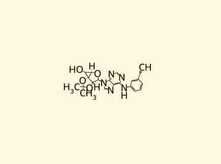 C#Cc1cccc(Nc2ncnc3c2ncn3[C@@H]2O[C@@H]3C(O)[C@@]34OC(C)(C)O[C@@H]24)c1